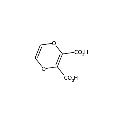 O=C(O)C1=C(C(=O)O)OC=CO1